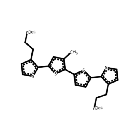 CCCCCCCCCCCCc1ccsc1-c1ccc(-c2sc(-c3sccc3CCCCCCCCCCCC)cc2C)s1